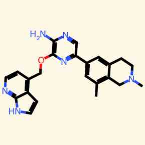 Cc1cc(-c2cnc(N)c(OCc3ccnc4[nH]ccc34)n2)cc2c1CN(C)CC2